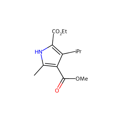 CCOC(=O)c1[nH]c(C)c(C(=O)OC)c1C(C)C